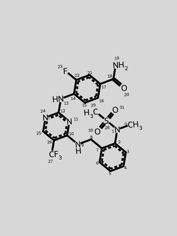 CN(c1ccccc1CNc1nc(Nc2ccc(C(N)=O)cc2F)ncc1C(F)(F)F)S(C)(=O)=O